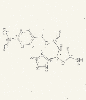 O=C(OCc1ccc([N+](=O)[O-])cc1)N1CC(S)C[C@H]1c1ncns1